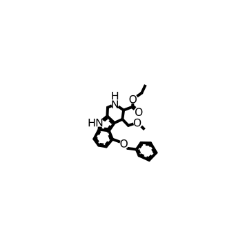 CCOC(=O)C1NCc2[nH]c3cccc(OCc4ccccc4)c3c2C1COC